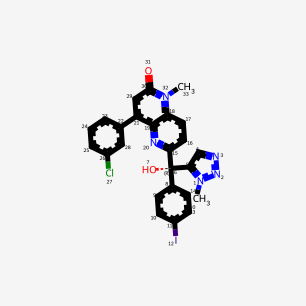 Cn1nncc1[C@@](O)(c1ccc(I)cc1)c1ccc2c(n1)c(-c1cccc(Cl)c1)cc(=O)n2C